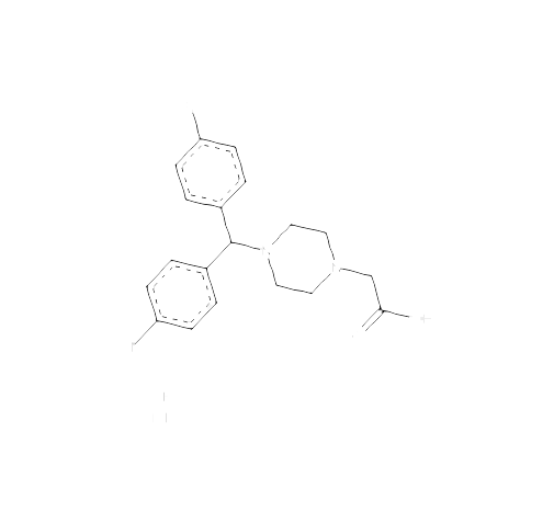 Cl.Cl.O=C(O)CN1CCN(C(c2ccc(Cl)cc2)c2ccc(Cl)cc2)CC1